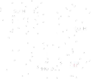 O=S(=O)(O)C1=c2ccc3c(S(=O)(=O)O)ccc4ccc(c2c43)C(O)(S(=O)(=O)O)C1